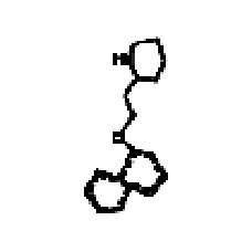 c1ccc2c(OCCC3CCCCN3)cccc2c1